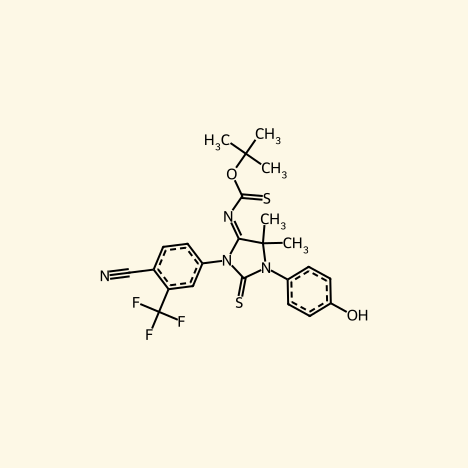 CC(C)(C)OC(=S)N=C1N(c2ccc(C#N)c(C(F)(F)F)c2)C(=S)N(c2ccc(O)cc2)C1(C)C